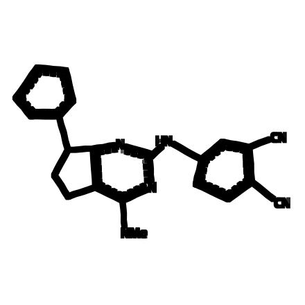 CNc1nc(Nc2ccc(C#N)c(C#N)c2)nc2c1CCC2c1ccccc1